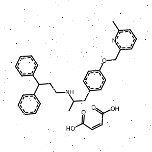 Cc1cccc(COc2ccc(CC(C)NCCC(c3ccccc3)c3ccccc3)cc2)n1.O=C(O)/C=C\C(=O)O